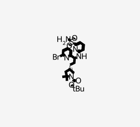 CC(C)(C)OC(=O)N1C[C@@H](CCC(Nc2cccc(S(N)(=O)=O)n2)c2cccc(Br)n2)CC1(C)C